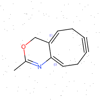 CC1=NC2=C/CC#CC/C=C\2CO1